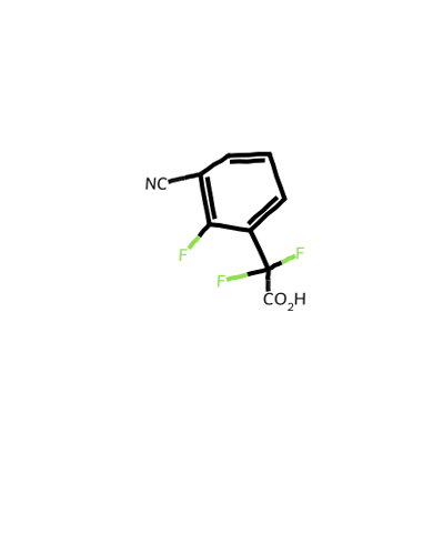 N#Cc1cccc(C(F)(F)C(=O)O)c1F